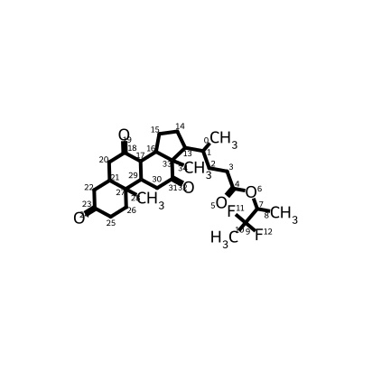 CC(CCC(=O)OC(C)C(C)(F)F)C1CCC2C3C(=O)CC4CC(=O)CCC4(C)C3CC(=O)C12C